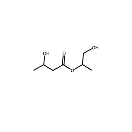 CC(O)CC(=O)OC(C)CO